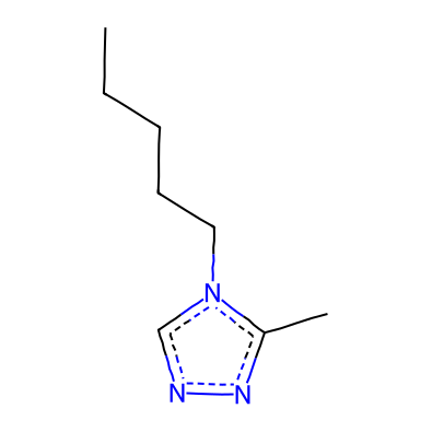 CCCCCn1cnnc1C